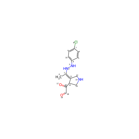 CC(NNc1ccc(Cl)cc1)=C1CNCC1C(=O)C=O